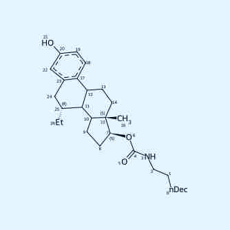 CCCCCCCCCCCCNC(=O)O[C@H]1CCC2C3C(CC[C@@]21C)c1ccc(O)cc1C[C@H]3CC